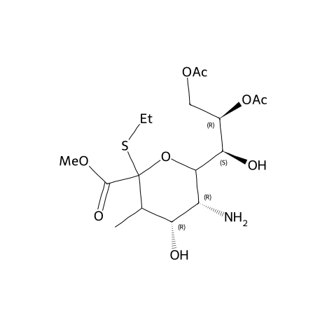 CCSC1(C(=O)OC)OC([C@H](O)[C@@H](COC(C)=O)OC(C)=O)[C@H](N)[C@H](O)C1C